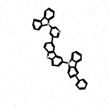 c1ccc(-c2ccc3c(c2)c2ccccc2n3-c2ccc3sc4ccc(-c5cncc(-n6c7ccccc7c7ccccc76)c5)cc4c3c2)cc1